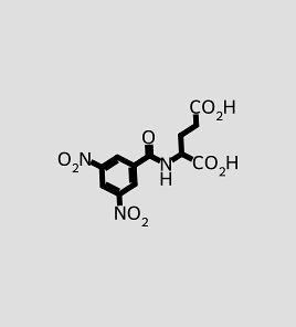 O=C(O)CCC(NC(=O)c1cc([N+](=O)[O-])cc([N+](=O)[O-])c1)C(=O)O